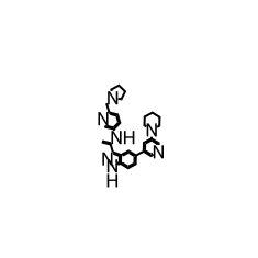 C=C(Nc1ccc(CN2CCCC2)nc1)c1n[nH]c2ccc(-c3cncc(N4CCCCC4)c3)cc12